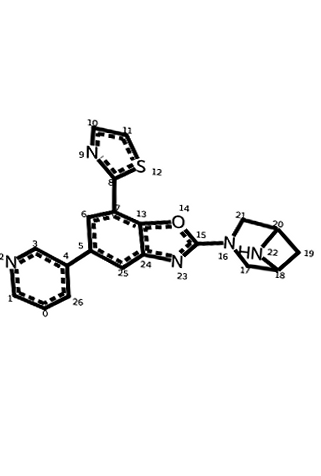 c1cncc(-c2cc(-c3nccs3)c3oc(N4CC5CC(C4)N5)nc3c2)c1